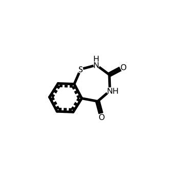 O=C1NSc2ccccc2C(=O)N1